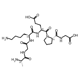 C[C@H](N)C(=O)NCC(=O)N[C@@H](CCCCN)C(=O)N[C@@H](CCC(=O)O)C(=O)N1CCC[C@H]1C(=O)NCC(=O)O